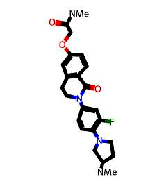 CNC(=O)COc1ccc2c(c1)CCN(c1ccc(N3CCC(NC)C3)c(F)c1)C2=O